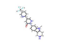 Cn1c2c(c3ccc(-n4ncc(-c5ccc(C(F)(F)F)cn5)cc4=O)cc31)CNCC2